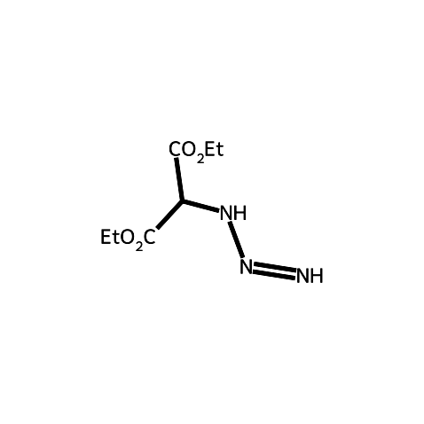 CCOC(=O)C(NN=N)C(=O)OCC